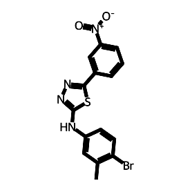 Cc1cc(Nc2nnc(-c3cccc([N+](=O)[O-])c3)s2)ccc1Br